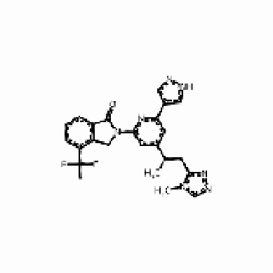 C[C@H](Cc1nncn1C)c1cc(-c2cn[nH]c2)nc(N2Cc3c(cccc3C(F)(F)F)C2=O)c1